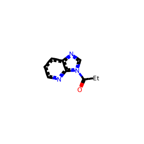 [CH2]CC(=O)n1cnc2cccnc21